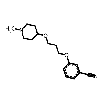 CN1CCC(OCCCOc2cccc(C#N)c2)CC1